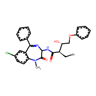 CC(C)C[C@@H](C(=O)NC1N=C(c2ccccc2)c2cc(Cl)ccc2N(C)C1=O)[C@H](O)COc1ccccc1